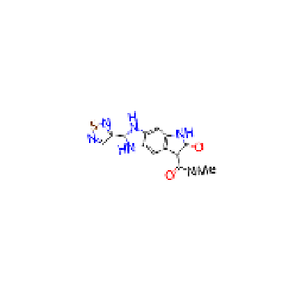 CNC(=O)C1C(=O)Nc2cc3c(cc21)NC(c1cnsn1)N3